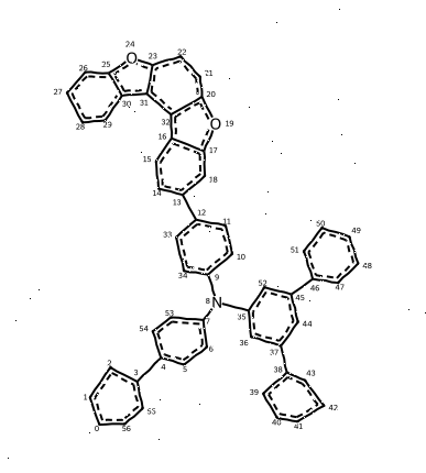 c1ccc(-c2ccc(N(c3ccc(-c4ccc5c(c4)oc4ccc6oc7ccccc7c6c45)cc3)c3cc(-c4ccccc4)cc(-c4ccccc4)c3)cc2)cc1